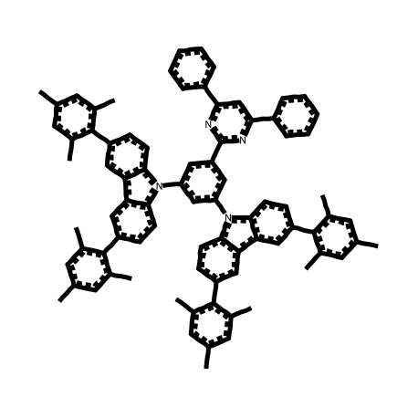 Cc1cc(C)c(-c2ccc3c(c2)c2cc(-c4c(C)cc(C)cc4C)ccc2n3-c2cc(-c3nc(-c4ccccc4)cc(-c4ccccc4)n3)cc(-n3c4ccc(-c5c(C)cc(C)cc5C)cc4c4cc(-c5c(C)cc(C)cc5C)ccc43)c2)c(C)c1